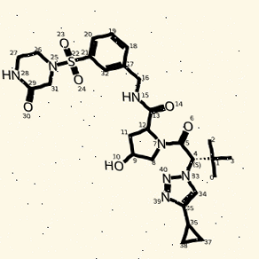 CC(C)(C)[C@@H](C(=O)N1CC(O)CC1C(=O)NCc1cccc(S(=O)(=O)N2CCNC(=O)C2)c1)n1cc(C2CC2)nn1